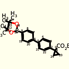 CCOC(=O)C1(c2ccc(-c3ccc(B4OC(C)(C)C(C)(C)O4)cc3)cc2)CC1